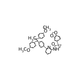 COc1ccc(S(C)(c2ccc(OC)cc2)c2ccc(-c3cccc(NC(=O)C4(c5ccc6c(c5)OCO6)CC4)n3)cc2)cc1